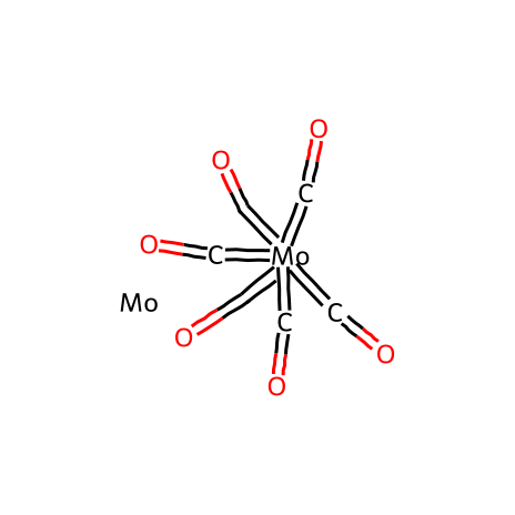 O=[C]=[Mo](=[C]=O)(=[C]=O)(=[C]=O)(=[C]=O)=[C]=O.[Mo]